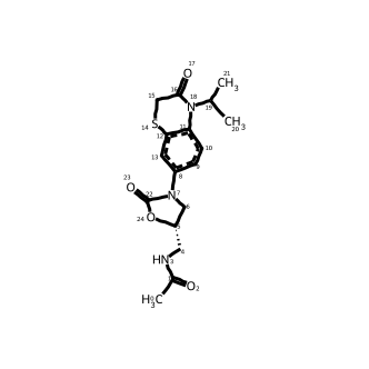 CC(=O)NC[C@H]1CN(c2ccc3c(c2)SCC(=O)N3C(C)C)C(=O)O1